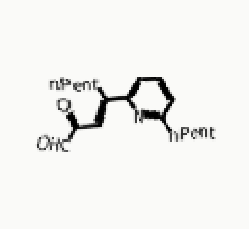 CCCCCC(=CC(=O)C=O)c1cccc(CCCCC)n1